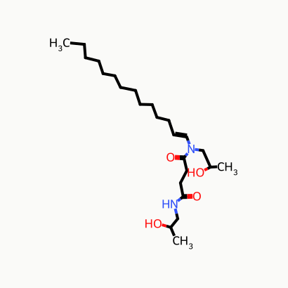 CCCCCCCCCCCCC=CN(CC(C)O)C(=O)CCC(=O)NCC(C)O